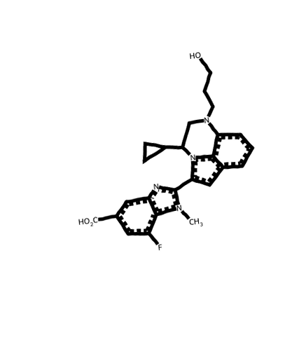 Cn1c(-c2cc3cccc4c3n2C(C2CC2)CN4CCCO)nc2cc(C(=O)O)cc(F)c21